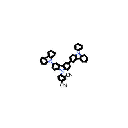 N#Cc1ccc(-n2c3ccc(-c4ccc5c(c4)c4ccccc4n5-c4ccccc4)cc3c3cc(-n4c5ccccc5c5ccccc54)ccc32)c(C#N)c1